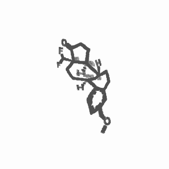 COc1ccc2c(c1)CC[C@@H]1[C@@H]2CC[C@]2(C(F)F)C(=O)CC[C@@H]12